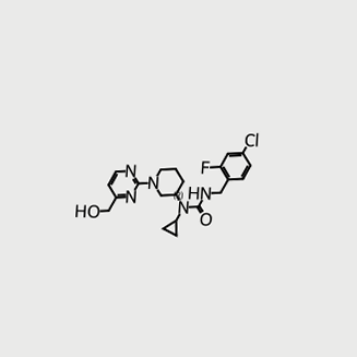 O=C(NCc1ccc(Cl)cc1F)N(C1CC1)[C@@H]1CCCN(c2nccc(CO)n2)C1